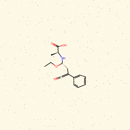 CCO[C@@H](CC(=C=O)c1ccccc1)N[C@@H](C)C(=O)O